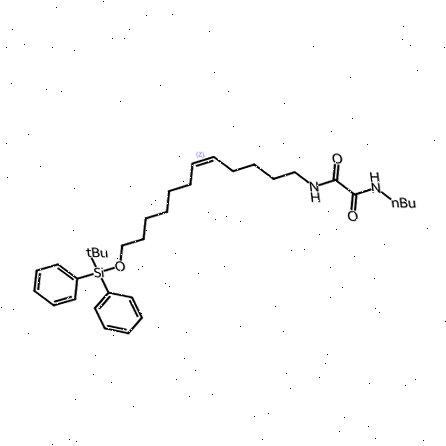 CCCCNC(=O)C(=O)NCCCC/C=C\CCCCCCO[Si](c1ccccc1)(c1ccccc1)C(C)(C)C